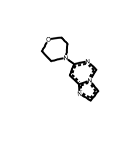 c1cn2cnc(N3CCOCC3)cc2n1